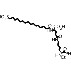 CCN[C@@H](CCCCNC(=O)CC[C@H](NC(=O)CCCCCCCCCCCCCCCS(=O)(=O)O)C(=O)O)C(=O)P